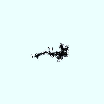 CC(C)(C)OC(=O)CN(CC(=O)OC(C)(C)C)CC(Cc1ccc(OCC(=O)NCCCCCCCCCCC(=O)O)cc1)N(CC(=O)OC(C)(C)C)CC(=O)OC(C)(C)C